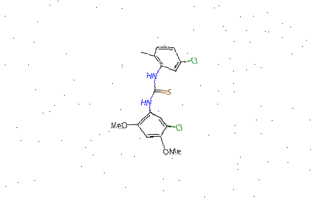 COc1cc(OC)c(NC(=S)Nc2cc(Cl)ccc2C)cc1Cl